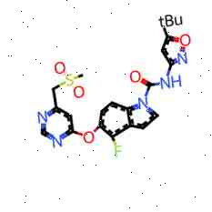 CC(C)(C)c1cc(NC(=O)n2ccc3c(F)c(Oc4cc(CS(C)(=O)=O)ncn4)ccc32)no1